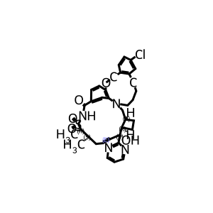 C[C@@H]1[C@@H](C)C/C=C/[C@](O)(c2ncccn2)[C@@H]2CC[C@H]2CN2CCCCc3cc(Cl)ccc3COc3ccc(cc32)C(=O)NS1(=O)=O